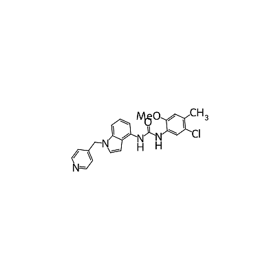 COc1cc(C)c(Cl)cc1NC(=O)Nc1cccc2c1ccn2Cc1ccncc1